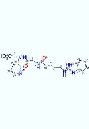 O=C(O)C[C@H](NC(=O)CNC(=O)CCCCNc1nc2ccccc2[nH]1)c1cccnc1